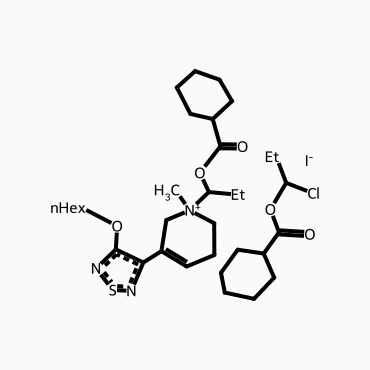 CCC(Cl)OC(=O)C1CCCCC1.CCCCCCOc1nsnc1C1=CCC[N+](C)(C(CC)OC(=O)C2CCCCC2)C1.[I-]